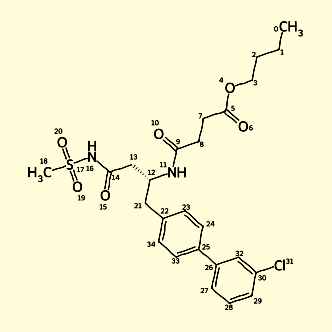 CCCCOC(=O)CCC(=O)N[C@@H](CC(=O)NS(C)(=O)=O)Cc1ccc(-c2cccc(Cl)c2)cc1